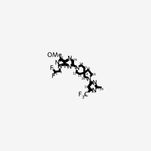 COc1nn(CC(F)F)c2nc(N3CCC4(CCN(c5cc(C(F)(F)F)nc(C)n5)C4)CC3)cnc12